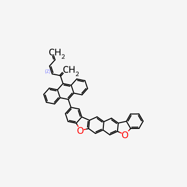 C=C/C=C\C(=C)c1c2ccccc2c(-c2ccc3oc4cc5cc6oc7ccccc7c6cc5cc4c3c2)c2ccccc12